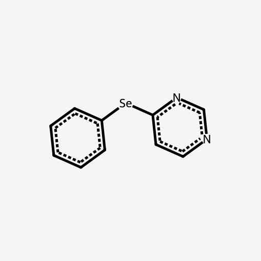 c1ccc([Se]c2ccncn2)cc1